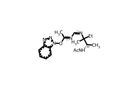 CCC(C)(/N=C\N=C(/C)On1nnc2ccccc21)[C@H](C)NC(C)=O